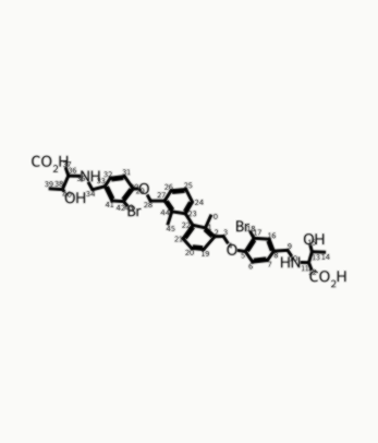 Cc1c(COc2ccc(CNC(C(=O)O)C(C)O)cc2Br)cccc1-c1cccc(COc2ccc(CNC(C(=O)O)C(C)O)cc2Br)c1C